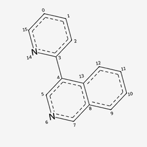 c1ccc(-c2cncc3ccccc23)nc1